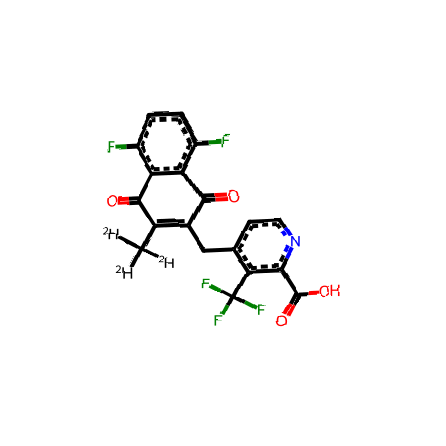 [2H]C([2H])([2H])C1=C(Cc2ccnc(C(=O)O)c2C(F)(F)F)C(=O)c2c(F)ccc(F)c2C1=O